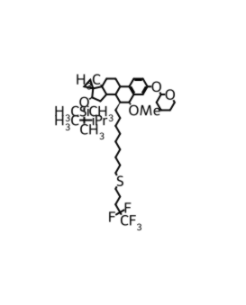 CO[C@@H]1c2cc(OC3CCCCO3)ccc2C2CC[C@@]3(C)C(C[C@@H](O[Si](C)(C)C(C)(C)C(C)C)C34CC4)C2[C@@H]1CCCCCCCCCSCCCC(F)(F)C(F)(F)F